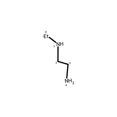 C[CH]NCCN